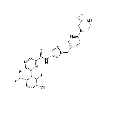 O=C(Nc1cnn(Cc2ccc(N3CCNC4(CC4)C3)nc2)c1)c1cncc(-c2c(C(F)F)ccc(Cl)c2F)n1